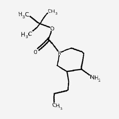 CCCC1CN(C(=O)OC(C)(C)C)CCC1N